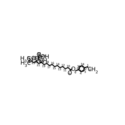 C=Cc1ccc(COC(=O)CCCCCCCCCCCCC(C[N+](C)(C)C)OP(=O)(O)O)cc1